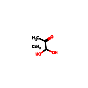 CC(=O)C(O)O.[CaH2]